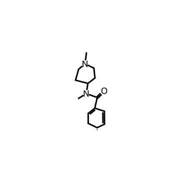 CN1CCC(N(C)C(=O)C2=CC[CH]C=C2)CC1